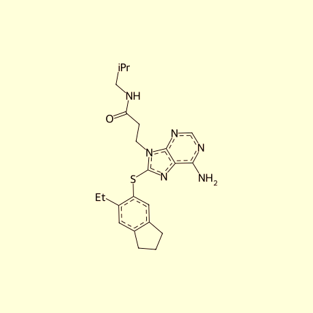 CCc1cc2c(cc1Sc1nc3c(N)ncnc3n1CCC(=O)NCC(C)C)CCC2